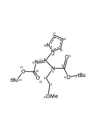 COCCN(C(=O)OC(C)(C)C)/C(=N\C(=O)OC(C)(C)C)n1cccn1